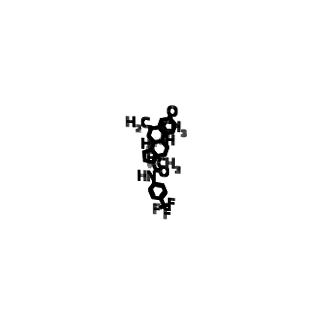 C=C1C[C@H]2[C@@H]3CC[C@H](C(=O)Nc4ccc(C(F)(F)F)cc4)[C@@]3(C)CC[C@@H]2[C@@]2(C)CCC(=O)C=C12